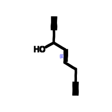 C#CC/C=C/C(O)C#C